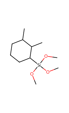 CO[Si](OC)(OC)C1CCCC(C)C1C